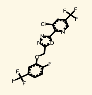 Fc1ccc(C(F)(F)F)cc1OCc1nnc(-c2ncc(C(F)(F)F)cc2Cl)o1